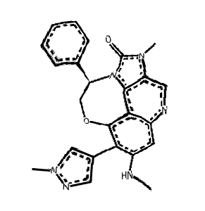 CNc1cc2ncc3c4c2c(c1-c1cnn(C)c1)OC[C@@H](c1ccccc1)n4c(=O)n3C